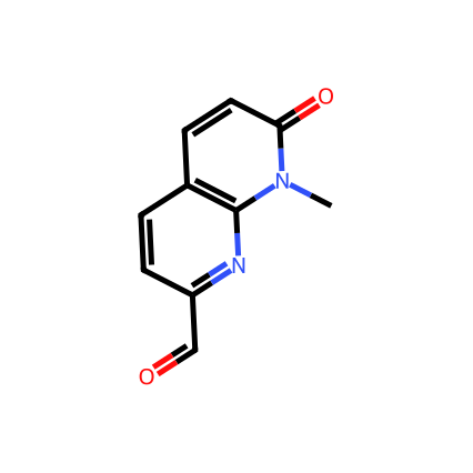 Cn1c(=O)ccc2ccc(C=O)nc21